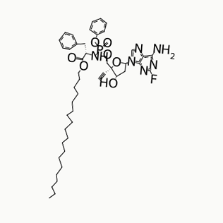 C#C[C@]1(COP(=O)(N[C@@H](Cc2ccccc2)C(=O)OCCCCCCCCCCCCCCCCCCC)Oc2ccccc2)O[C@@H](n2cnc3c(N)nc(F)nc32)C[C@@H]1O